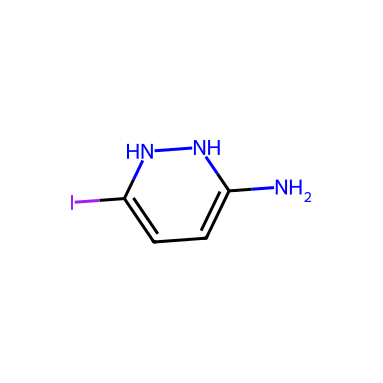 NC1=CC=C(I)NN1